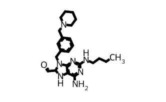 CCCCNc1nc(N)c2c(n1)N(Cc1cccc(CN3CCCCC3)c1)C(C=O)N2